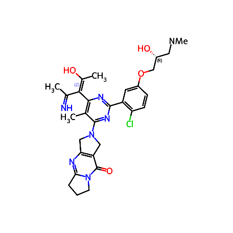 CNC[C@@H](O)COc1ccc(Cl)c(-c2nc(/C(C(C)=N)=C(\C)O)c(C)c(N3Cc4nc5n(c(=O)c4C3)CCC5)n2)c1